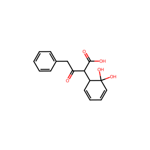 O=C(O)C(C(=O)Cc1ccccc1)C1C=CC=CC1(O)O